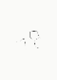 CCN1CCC[C@H]1C(F)(F)F